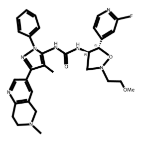 COCCN1C[C@@H](NC(=O)Nc2c(C)c(-c3cnc4c(c3)CN(C)CC4)nn2-c2ccccc2)[C@H](c2ccnc(F)c2)O1